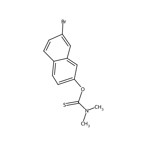 CN(C)C(=S)Oc1ccc2ccc(Br)cc2c1